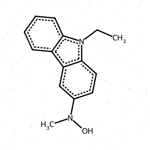 CCn1c2ccccc2c2cc(N(C)O)ccc21